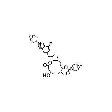 C/C(=C\c1cc(F)c2cn(C3CCOCC3)nc2c1)[C@H]1OC(=O)C[C@H](O)CC[C@H](C)[C@H](OC(=O)N2CCN(C)CC2)/C=C/[C@@H]1C